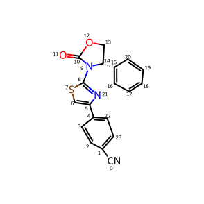 N#Cc1ccc(-c2csc(N3C(=O)OC[C@@H]3c3ccccc3)n2)cc1